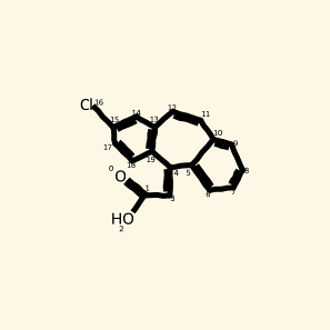 O=C(O)C=C1c2ccccc2C=Cc2cc(Cl)ccc21